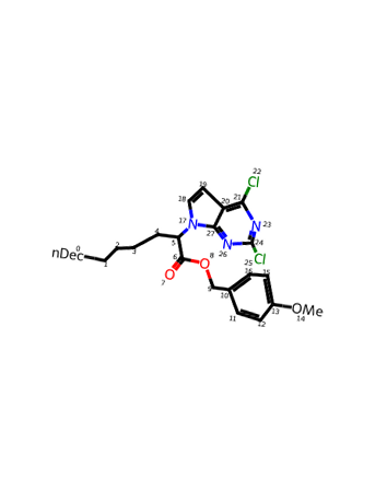 CCCCCCCCCCCCCCC(C(=O)OCc1ccc(OC)cc1)n1ccc2c(Cl)nc(Cl)nc21